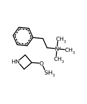 C[N+](C)(C)CCc1ccccc1.[SiH3]OC1CNC1